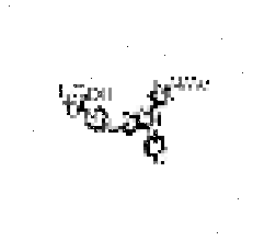 CNc1ncc(-c2nc(N3CCOCC3)c3cc(CN4CCN(C(=O)C(C)O)CC4)sc3n2)cn1